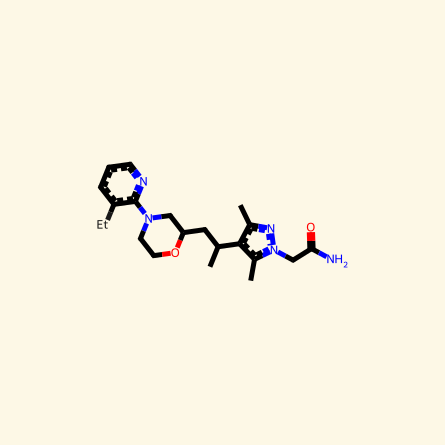 CCc1cccnc1N1CCOC(CC(C)c2c(C)nn(CC(N)=O)c2C)C1